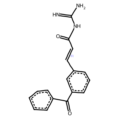 N=C(N)NC(=O)/C=C/c1cccc(C(=O)c2ccccc2)c1